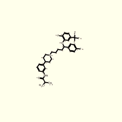 CC(C)C(=O)Nc1cccc(C2CCN(CCCCC(Oc3cc(C(F)(F)F)ccc3F)c3ccc(F)cc3)CC2)c1